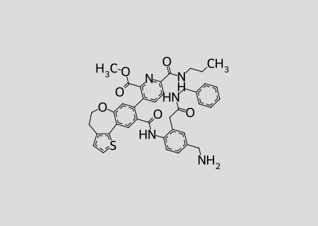 CCCNC(=O)c1ccc(-c2cc3c(cc2C(=O)Nc2ccc(CN)cc2CC(=O)NCc2ccccc2)-c2sccc2CCO3)c(C(=O)OC)n1